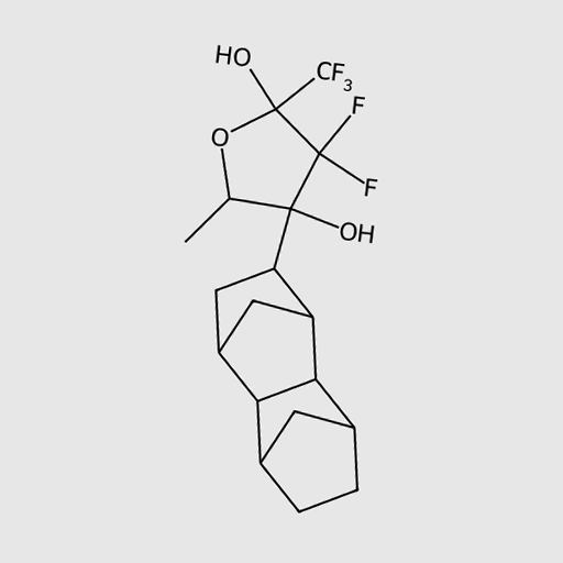 CC1OC(O)(C(F)(F)F)C(F)(F)C1(O)C1CC2CC1C1C3CCC(C3)C21